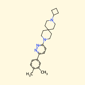 Cc1ccc(-c2ccc(N3CCC4(CC3)CCN(C3CCC3)CC4)nn2)cc1C